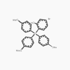 COc1ccc([P+](c2ccc(OC)cc2)(c2ccc(OC)cc2)c2ccccc2O)cc1.[Br-]